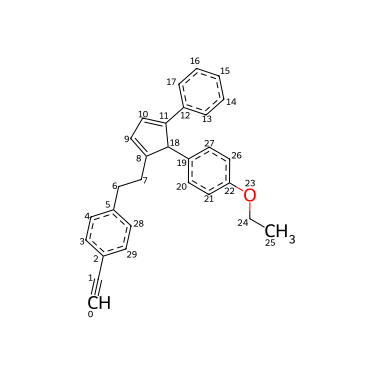 C#Cc1ccc(CCC2=CC=C(c3ccccc3)C2c2ccc(OCC)cc2)cc1